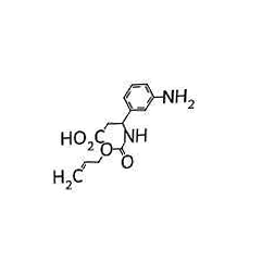 C=CCOC(=O)NC(CC(=O)O)c1cccc(N)c1